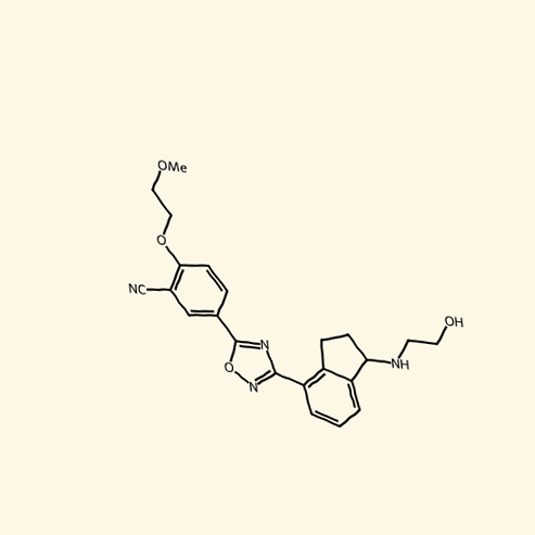 COCCOc1ccc(-c2nc(-c3cccc4c3CCC4NCCO)no2)cc1C#N